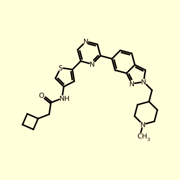 CN1CCC(Cn2cc3ccc(-c4cncc(-c5cc(NC(=O)CC6CCC6)cs5)n4)cc3n2)CC1